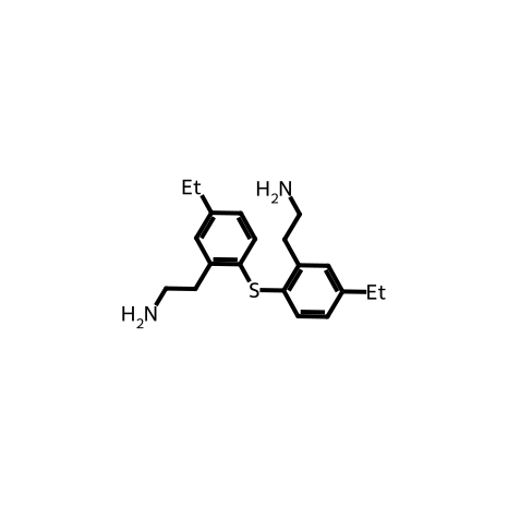 CCc1ccc(Sc2ccc(CC)cc2CCN)c(CCN)c1